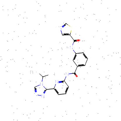 CC(C)n1cnnc1-c1cccc(NC(=O)c2cccc(NC(=O)c3cncs3)c2)n1